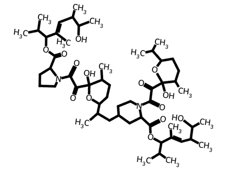 C/C(=C\C(C)C(C)O)C(OC(=O)C1CC(CC(C)C2CCC(C)C(O)(C(=O)C(=O)N3CCCC3C(=O)OC(/C(C)=C/C(C)C(C)O)C(C)C)O2)CCN1C(=O)C(=O)C1(O)OC(C(C)C)CCC1C)C(C)C